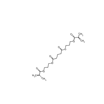 C=C(C)C(=O)OCCCOC(=O)CCCC(=O)OCCCOC(=O)C(=C)C